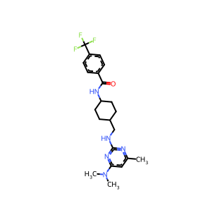 Cc1cc(N(C)C)nc(NCC2CCC(NC(=O)c3ccc(C(F)(F)F)cc3)CC2)n1